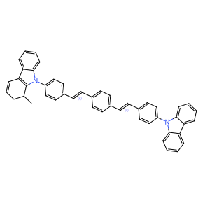 CC1CC=Cc2c1n(-c1ccc(/C=C/c3ccc(/C=C/c4ccc(-n5c6ccccc6c6ccccc65)cc4)cc3)cc1)c1ccccc21